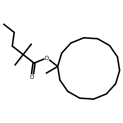 CCCC(C)(C)C(=O)OC1(C)CCCCCCCCCCCCC1